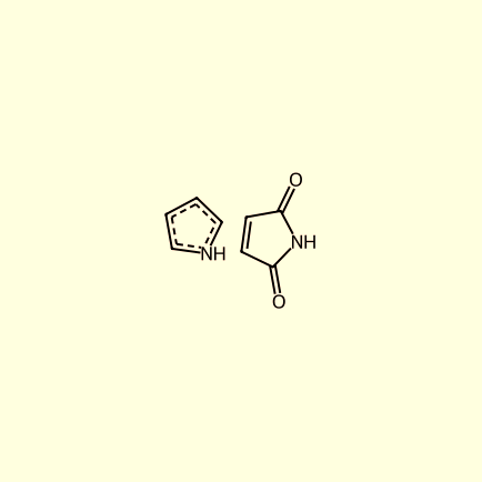 O=C1C=CC(=O)N1.c1cc[nH]c1